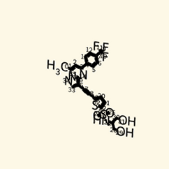 Cc1cc(-c2ccc(C(F)(F)F)cc2)nc2c(C#Cc3ccc(S(=O)(=O)NC(CO)CO)s3)cnn12